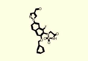 O=Cc1cnn(-c2ccc3cc(OCc4ccccc4)c(N4CC(=O)NS4(=O)=O)c(F)c3c2)c1